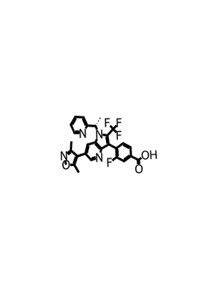 Cc1noc(C)c1-c1cnc2c(-c3ccc(C(=O)O)cc3F)c(C(F)(F)F)n([C@@H](C)c3ccccn3)c2c1